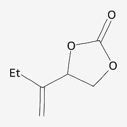 C=C(CC)C1COC(=O)O1